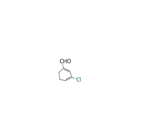 O=CC1=CC(Cl)=CCC1